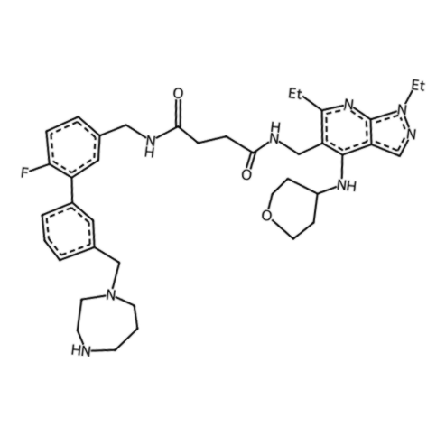 CCc1nc2c(cnn2CC)c(NC2CCOCC2)c1CNC(=O)CCC(=O)NCc1ccc(F)c(-c2cccc(CN3CCCNCC3)c2)c1